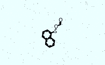 O=[C]OSc1cccc2ccccc12